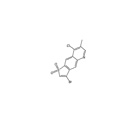 Cc1cnc2cc3c(cc2c1Cl)S(=O)(=O)C=C3Br